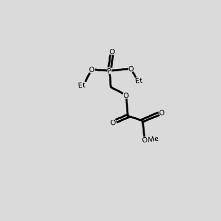 CCOP(=O)(COC(=O)C(=O)OC)OCC